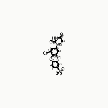 CS(=O)(=O)c1ccc(Oc2c(Cl)cc(-n3ncc(=O)[nH]c3=O)cc2Cl)cc1